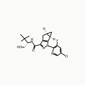 CC(C)(C)[C@@H](CO)NC(=O)c1nn(-c2ncc(Cl)cc2F)c2c1C[C@H]1C[C@@H]21